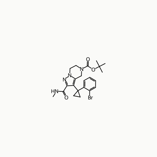 CNC(=O)c1nn2c(c1C1(c3ccccc3Br)CC1)CN(C(=O)OC(C)(C)C)CC2